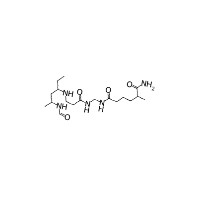 CCC(CC(C)NC=O)NCCC(=O)NCNC(=O)CCCC(C)C(N)=O